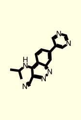 CC(C)Nc1c(C#N)nnc2cc(-c3cncnc3)ccc12